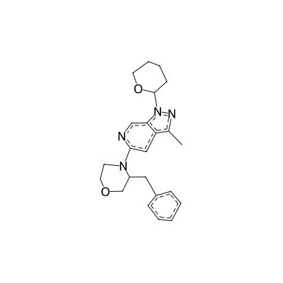 Cc1nn(C2CCCCO2)c2cnc(N3CCOCC3Cc3ccccc3)cc12